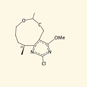 COc1nc(Cl)nc2c1CCC(C)OCCC[C@@H]2C